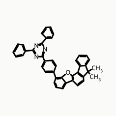 CC1(C)c2ccccc2-c2c1ccc1c2oc2c(-c3ccc(-c4nc(-c5ccccc5)nc(-c5ccccc5)n4)cc3)cccc21